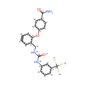 NC(=O)c1ccc(Oc2cc#ccc2CNC(=O)Nc2cccc(C(F)(F)F)c2)cc1